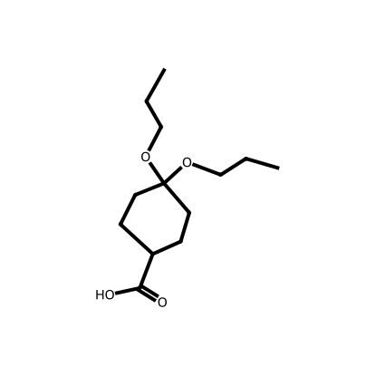 CCCOC1(OCCC)CCC(C(=O)O)CC1